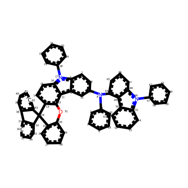 c1ccc(N(c2ccc3c(c2)c2c4c(ccc2n3-c2ccccc2)C2(c3ccccc3O4)c3ccccc3-c3ccccc32)c2cccc3c2c2ccccc2n3-c2ccccc2)cc1